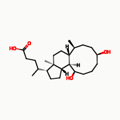 CC(CCC(=O)O)[C@H]1CC[C@H]2[C@H]3[C@H](CC[C@]12C)[C@@H](C)CC[C@@H](O)CCC[C@H]3O